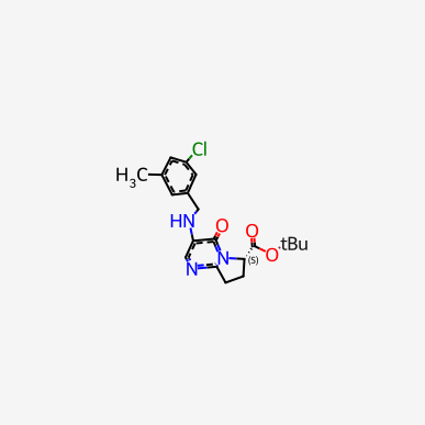 Cc1cc(Cl)cc(CNc2cnc3n(c2=O)[C@H](C(=O)OC(C)(C)C)CC3)c1